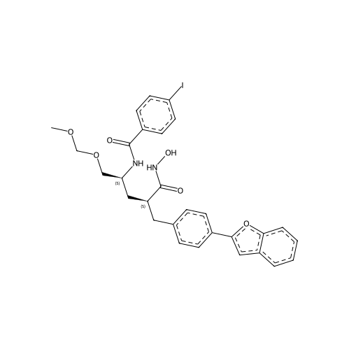 COCOC[C@H](C[C@H](Cc1ccc(-c2cc3ccccc3o2)cc1)C(=O)NO)NC(=O)c1ccc(I)cc1